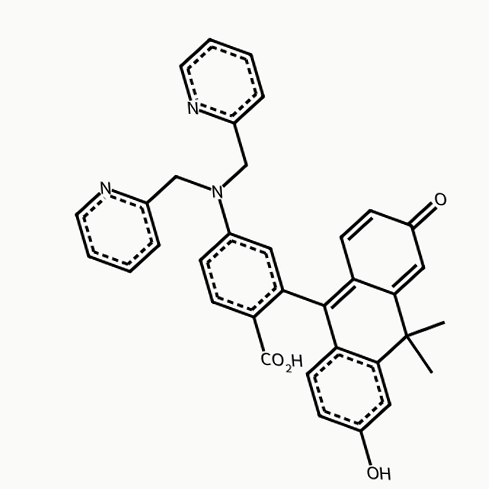 CC1(C)C2=CC(=O)C=CC2=C(c2cc(N(Cc3ccccn3)Cc3ccccn3)ccc2C(=O)O)c2ccc(O)cc21